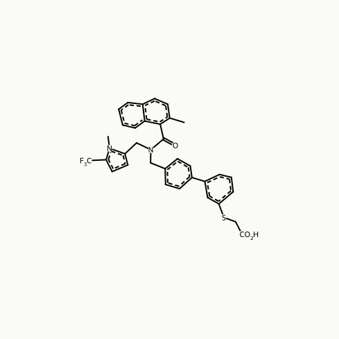 Cc1ccc2ccccc2c1C(=O)N(Cc1ccc(-c2cccc(SCC(=O)O)c2)cc1)Cc1ccc(C(F)(F)F)n1C